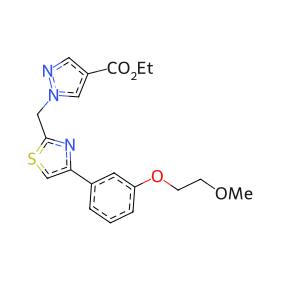 CCOC(=O)c1cnn(Cc2nc(-c3cccc(OCCOC)c3)cs2)c1